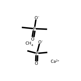 C.CP(C)(=O)[O-].CP(C)(=O)[O-].[Ca+2]